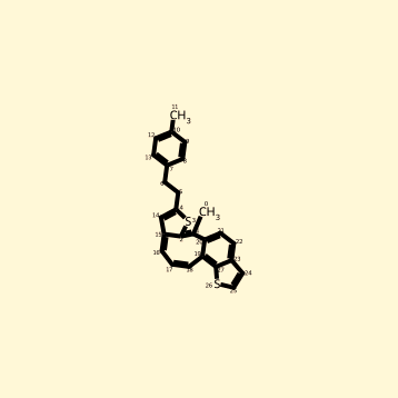 C/C1=c2/sc(CCc3ccc(C)cc3)c/c2=C/C=Cc2c1ccc1ccsc21